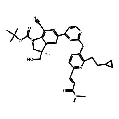 CN(C)C(=O)/C=C/c1ccc(Nc2nccc(-c3cc(C#N)c4c(c3)[C@@](C)(CO)CN4C(=O)OC(C)(C)C)n2)c(CCC2CC2)n1